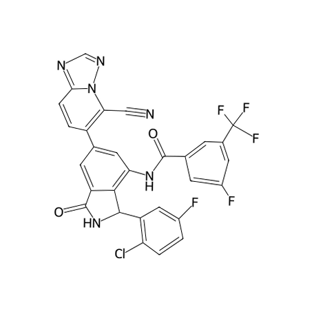 N#Cc1c(-c2cc(NC(=O)c3cc(F)cc(C(F)(F)F)c3)c3c(c2)C(=O)NC3c2cc(F)ccc2Cl)ccc2ncnn12